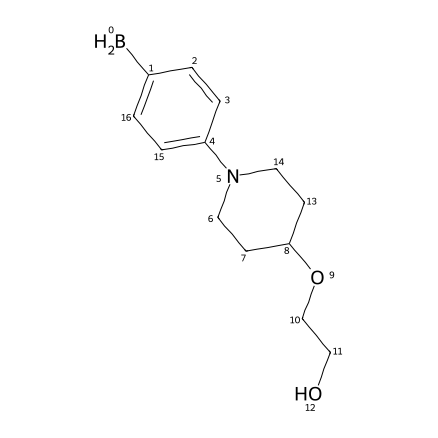 Bc1ccc(N2CCC(OCCO)CC2)cc1